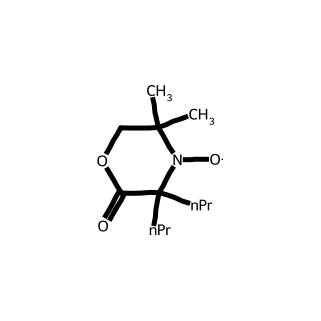 CCCC1(CCC)C(=O)OCC(C)(C)N1[O]